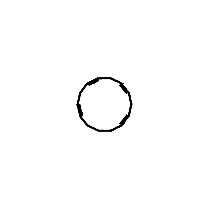 [C]1=CCC=CCCCC=CCC=CC1